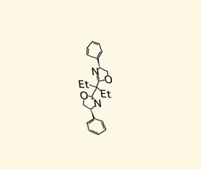 CCC(CC)(C1=N[C@@H](c2ccccc2)CO1)C1=N[C@@H](c2ccccc2)CO1